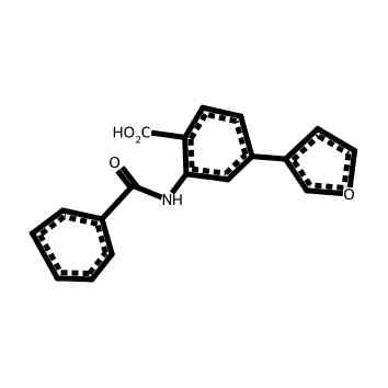 O=C(Nc1cc(-c2ccoc2)ccc1C(=O)O)c1ccccc1